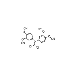 N#COc1ccc(C(=C(Cl)Cl)c2ccc(OC#N)c(OC#N)c2)cc1OC#N